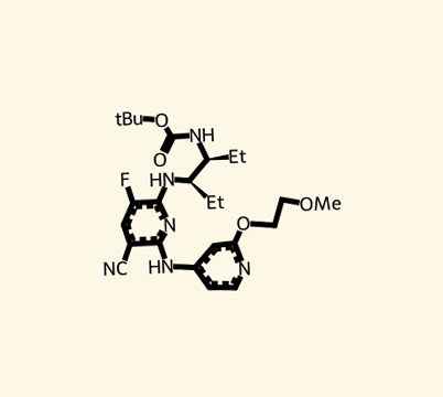 CC[C@H](NC(=O)OC(C)(C)C)[C@@H](CC)Nc1nc(Nc2ccnc(OCCOC)c2)c(C#N)cc1F